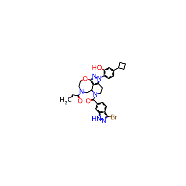 C=CC(=O)N1CCOc2nn(-c3ccc(C4CCC4)cc3O)c3c2C(C1)N(C(=O)c1ccc2c(Br)n[nH]c2c1)CC3